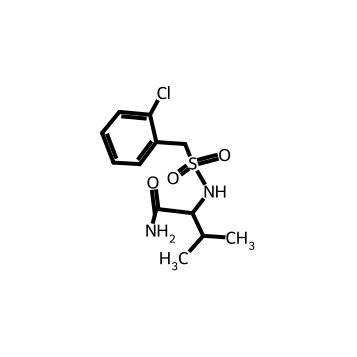 CC(C)C(NS(=O)(=O)Cc1ccccc1Cl)C(N)=O